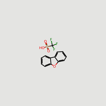 O=S(=O)(O)C(F)(F)F.c1ccc2c(c1)oc1ccccc12